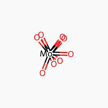 [O]=[Mo](=[O])(=[O])(=[O])(=[O])(=[O])(=[O])=[O]